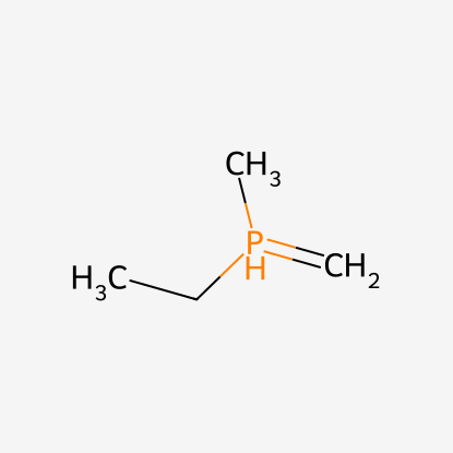 C=[PH](C)CC